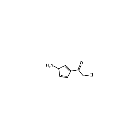 NC1C=CC(C(=O)CCl)=C1